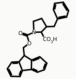 O=C(O)C1C(Cc2ccccc2)CCN1C(=O)OCC1c2ccccc2-c2ccccc21